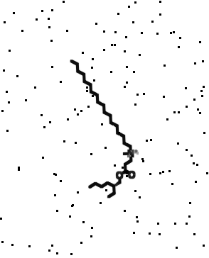 CCCCCCCCCCCCCCCCCC[N+](C)(C)CCC(=O)OC[C@@H](CC)CCCC